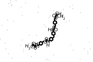 C=C(C)C(=O)OCC1CCC(COC(=O)NC2CCC(CC3CCC(NC(=O)OCC4CCC(COC(=O)C(=C)C)CC4)CC3)CC2)CC1